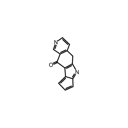 O=C1C2=C(Cc3ccncc31)N=C1C=CC=C12